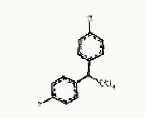 Fc1ccc(C(c2ccc(Cl)cc2)C(Cl)(Cl)Cl)cc1